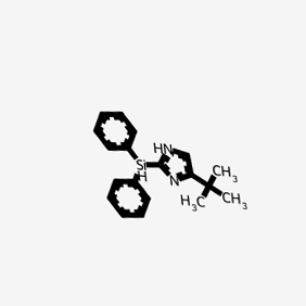 CC(C)(C)c1c[nH]c([SiH](c2ccccc2)c2ccccc2)n1